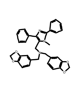 Cn1c(-c2ccccc2)nc(-c2ccccc2)c1CN(Cc1ccc2c(c1)OCO2)Cc1ccc2c(c1)OCO2